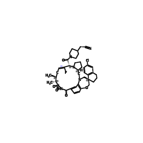 C[C@@H]1[C@@H](C)C/C=C(\F)[C@H](C(=O)N2CCC(CC#N)CC2)N2CCC[C@H]2CN2C[C@@]3(CCCc4cc(Cl)ccc43)COc3ccc(cc32)C(=O)NS1(=O)=O